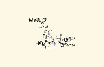 CCCCC(C)(F)[C@@H](/C=C/[C@H]1CC[C@H](O)[C@@H]1C(F)/C=C\CCCC(=O)OC)OC1CCCCO1